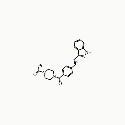 CC(C)C(=O)N1CCN(C(=O)c2ccc(/C=C/c3n[nH]c4ccccc34)cc2)CC1